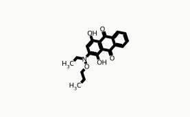 CCCON(CC)c1cc(O)c2c(c1O)C(=O)c1ccccc1C2=O